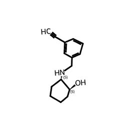 C#Cc1cccc(CN[C@H]2CCCC[C@@H]2O)c1